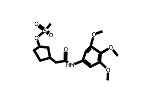 COc1cc(NC(=O)CC2CCC(OS(C)(=O)=O)C2)cc(OC)c1OC